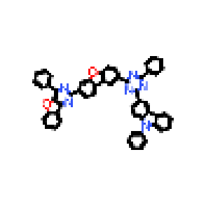 c1ccc(-c2nc(-c3ccc4oc5cc(-c6nc(-c7ccccc7)c7oc8ccccc8c7n6)ccc5c4c3)nc(-c3ccc4c(c3)c3ccccc3n4-c3ccccc3)n2)cc1